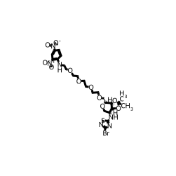 CC1(C)O[C@@H]2[C@H](O1)[C@@H](Nc1nc(Br)ns1)CO[C@@H]2COCCOCCOCCOCCNc1ccc([N+](=O)[O-])cc1[N+](=O)[O-]